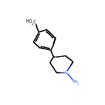 NN1CCC(c2ccc(C(=O)O)cc2)CC1